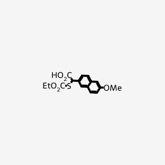 CCOC(=O)SC(C(=O)O)c1ccc2cc(OC)ccc2c1